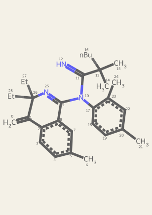 C=C1c2ccc(C)cc2C(N(C(=N)C(C)(C)CCCC)c2ccc(C)cc2C)=NC1(CC)CC